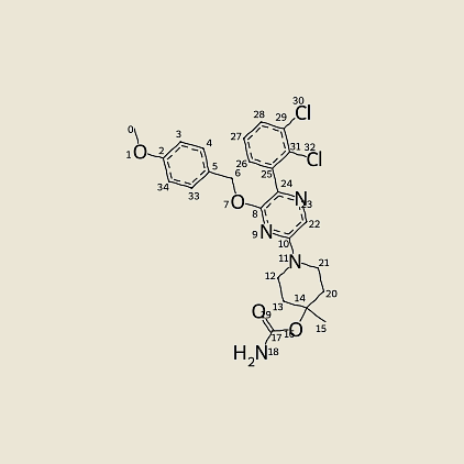 COc1ccc(COc2nc(N3CCC(C)(OC(N)=O)CC3)cnc2-c2cccc(Cl)c2Cl)cc1